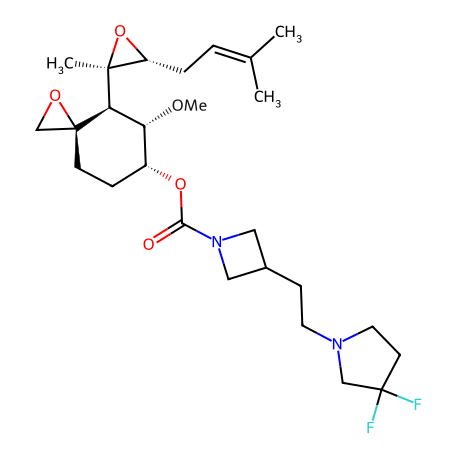 CO[C@@H]1[C@H](OC(=O)N2CC(CCN3CCC(F)(F)C3)C2)CC[C@]2(CO2)[C@H]1[C@@]1(C)O[C@@H]1CC=C(C)C